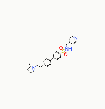 CC1CCCN1CCc1ccc(-c2ccc(S(=O)(=O)NCc3ccncc3)cc2)cc1